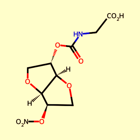 O=C(O)CNC(=O)O[C@H]1CO[C@H]2[C@@H]1OC[C@H]2O[N+](=O)[O-]